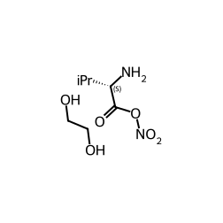 CC(C)[C@H](N)C(=O)O[N+](=O)[O-].OCCO